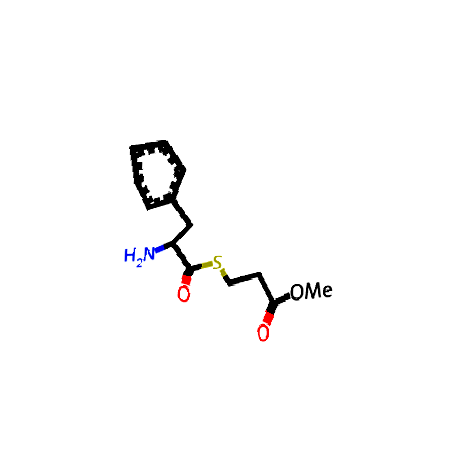 COC(=O)CCSC(=O)C(N)Cc1ccccc1